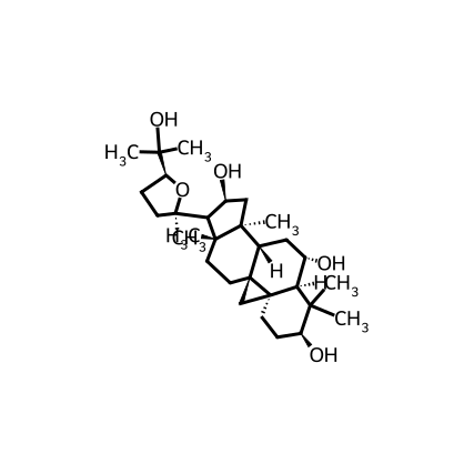 CC(C)(O)[C@@H]1CC[C@](C)(C2[C@@H](O)C[C@@]3(C)[C@@H]4C[C@H](O)[C@H]5C(C)(C)[C@@H](O)CC[C@@]56C[C@@]46CC[C@]23C)O1